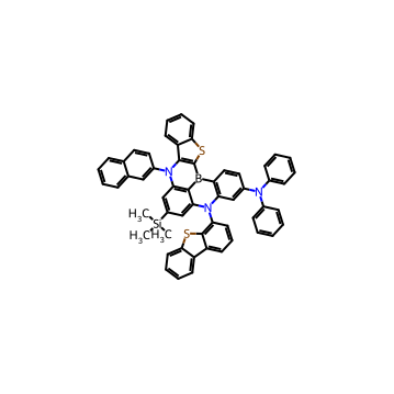 C[Si](C)(C)c1cc2c3c(c1)N(c1cccc4c1sc1ccccc14)c1cc(N(c4ccccc4)c4ccccc4)ccc1B3c1sc3ccccc3c1N2c1ccc2ccccc2c1